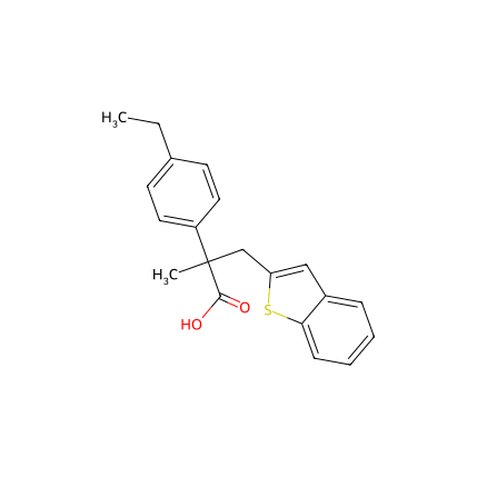 CCc1ccc(C(C)(Cc2cc3ccccc3s2)C(=O)O)cc1